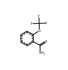 NC(=S)c1ccccc1OC(F)(F)F